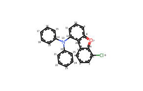 Clc1cccc2c1oc1cccc(N(c3ccccc3)c3ccccc3)c12